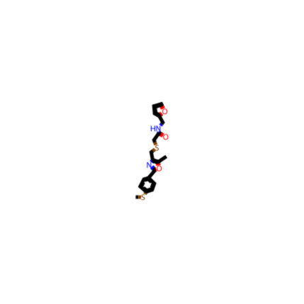 CSc1ccc(-c2nc(CSCC(=O)NCc3ccco3)c(C)o2)cc1